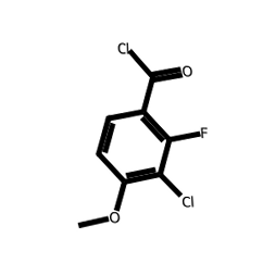 COc1ccc(C(=O)Cl)c(F)c1Cl